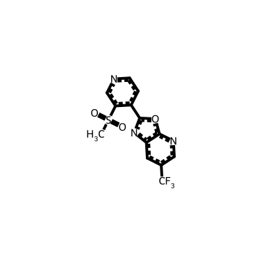 CS(=O)(=O)c1cnccc1-c1nc2cc(C(F)(F)F)cnc2o1